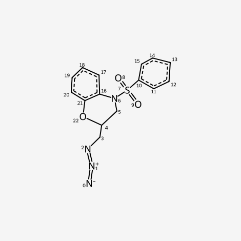 [N-]=[N+]=NCC1CN(S(=O)(=O)c2ccccc2)c2ccccc2O1